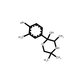 CCCc1ccc(C2(O)OCC(C)(C)NC2C)cc1C